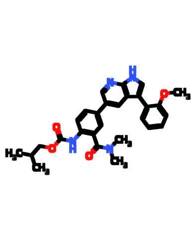 COc1ccccc1-c1c[nH]c2ncc(-c3ccc(NC(=O)OCC(C)C)c(C(=O)N(C)C)c3)cc12